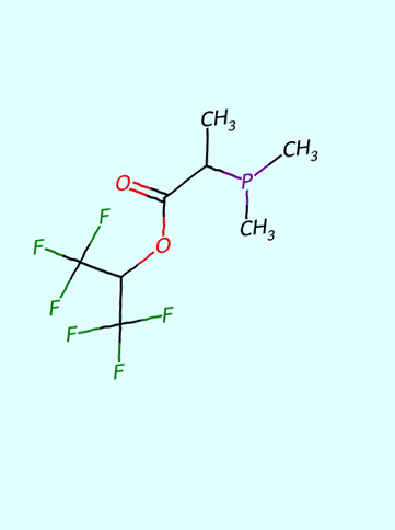 CC(C(=O)OC(C(F)(F)F)C(F)(F)F)P(C)C